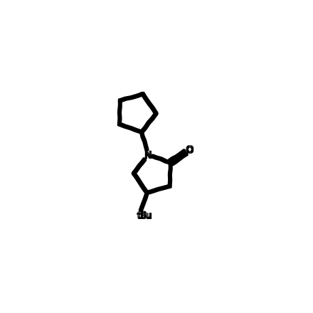 CC(C)(C)C1CC(=O)N(C2CCCC2)C1